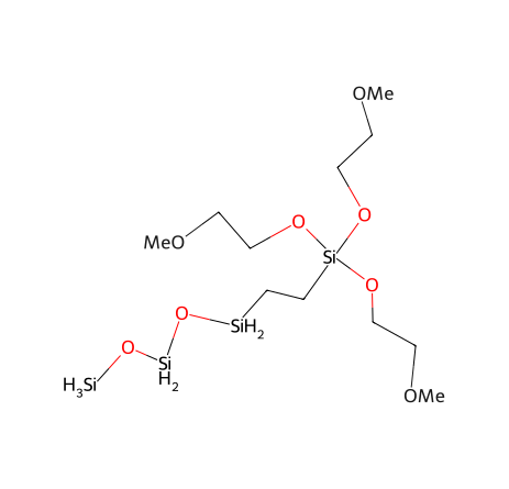 COCCO[Si](CC[SiH2]O[SiH2]O[SiH3])(OCCOC)OCCOC